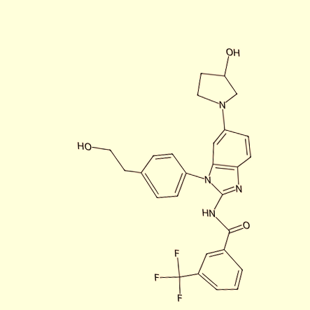 O=C(Nc1nc2ccc(N3CCC(O)C3)cc2n1-c1ccc(CCO)cc1)c1cccc(C(F)(F)F)c1